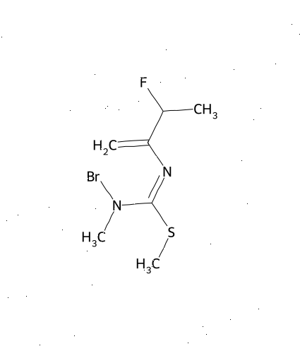 C=C(/N=C(/SC)N(C)Br)C(C)F